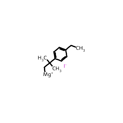 CCc1ccc(C(C)(C)[CH2][Mg+])cc1.[I-]